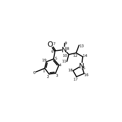 Cc1cccc(C(=O)N(C)C(C)C(C)CN2CCC2)c1